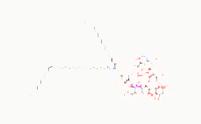 CCCCCCCC/C=C\CCCCCCCCCCCCCCCC(=O)N[C@@H](CO[C@@H]1OC(CO)[C@@H](O[C@@H]2OC(CO)[C@H](O)[C@H](O[C@@H]3OC(CO)[C@@H](O[C@H]4OC(C)[C@@H](O)C(O)[C@@H]4O)[C@H](O[C@@H]4OC(CO)[C@H](O)[C@H](O[C@]5(C(=O)O)CC(O)[C@@H](NC(C)=O)C([C@H](O)[C@H](O)CO)O5)C4O)C3NC(C)=O)C2O)[C@H](O)C1O)[C@H](O)/C=C/CCCCCCCCCCCCC